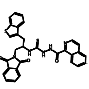 O=C(NNC(=S)N[C@H](Cc1csc2ccccc12)CN1C(=O)c2ccccc2C1=O)c1nccc2c[c]ccc12